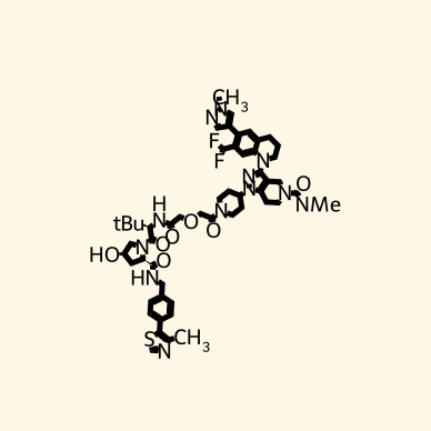 CNC(=O)N1CCc2c(c(N3CCCc4cc(-c5cnn(C)c5)c(C(F)F)cc43)nn2C2CCN(C(=O)COCC(=O)N[C@H](C(=O)N3C[C@H](O)C[C@H]3C(=O)NCc3ccc(-c4scnc4C)cc3)C(C)(C)C)CC2)C1